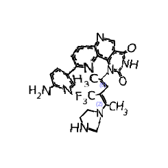 C/C(=C(\C=C(/C)n1c(=O)[nH]c(=O)c2cnc3ccc(-c4ccc(N)nc4)nc3c21)C(F)(F)F)N1CCNCC1